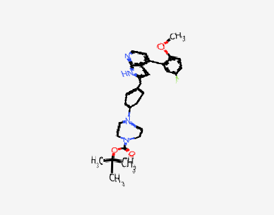 COc1ccc(F)cc1-c1ccnc2[nH]c(C3=CCC(N4CCN(C(=O)OC(C)(C)C)CC4)CC3)cc12